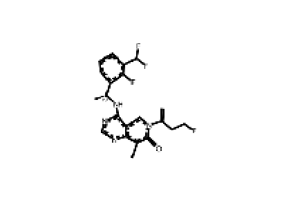 C=C(CCF)n1cc2c(N[C@@H](C)c3cccc(C(F)F)c3F)ncnc2c(C)c1=O